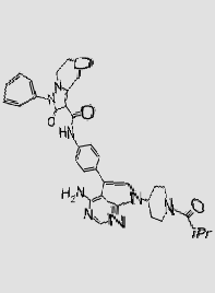 CC(C)C(=O)N1CCC(n2cc(-c3ccc(NC(=O)c4c5n(n(-c6ccccc6)c4=O)CCOC5)cc3)c3c(N)ncnc32)CC1